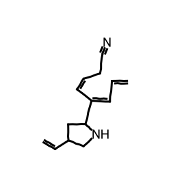 C=C/C=C(\C=C/CC#N)C1CC(C=C)CN1